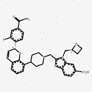 NC(=O)c1ccc([C@H]2C=Cc3cccc(C4CCN(Cc5nc6ccc(C(=O)O)cc6n5C[C@@H]5CCO5)CC4)c3O2)c(F)c1